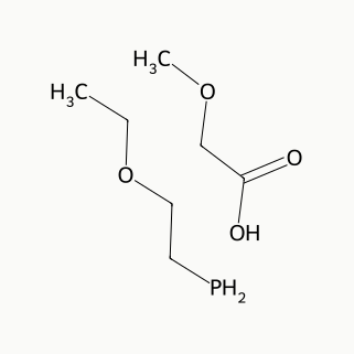 CCOCCP.COCC(=O)O